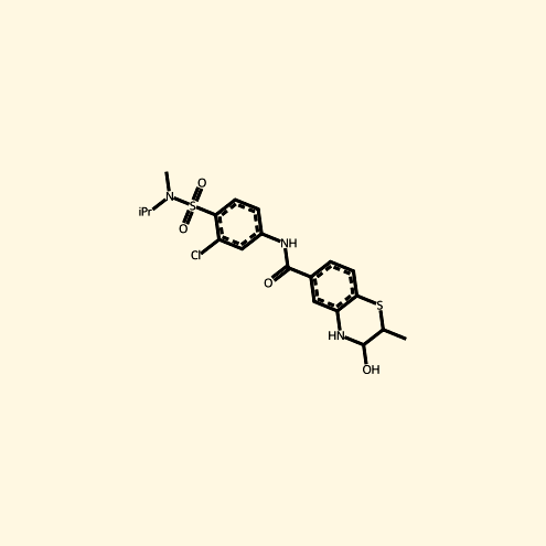 CC1Sc2ccc(C(=O)Nc3ccc(S(=O)(=O)N(C)C(C)C)c(Cl)c3)cc2NC1O